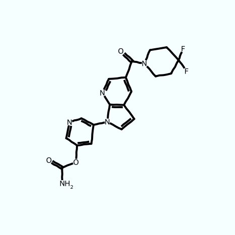 NC(=O)Oc1cncc(-n2ccc3cc(C(=O)N4CCC(F)(F)CC4)cnc32)c1